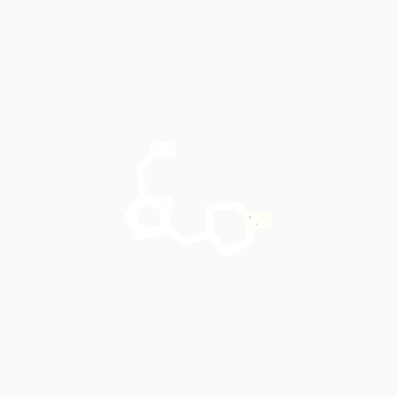 OCc1ccc(CC2CCNCC2)o1